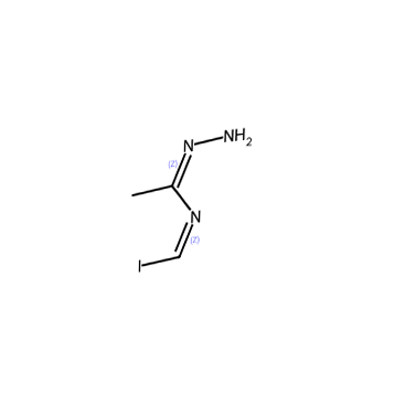 CC(/N=C\I)=N/N